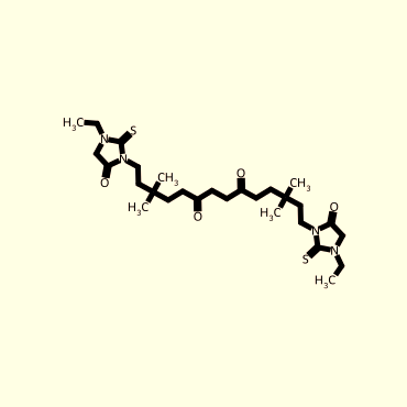 CCN1CC(=O)N(CCC(C)(C)CCC(=O)CCC(=O)CCC(C)(C)CCN2C(=O)CN(CC)C2=S)C1=S